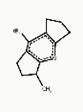 CC1CCc2c1nc1c(c2C(C)(C)C)CCC1